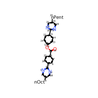 CCCCCCCCc1cnc(-c2ccc(C(=O)Oc3ccc(-c4ncc(CCCCC)cn4)cc3)cc2)nc1